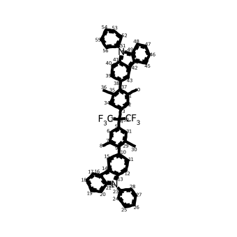 Cc1cc(C(c2cc(C)c(-c3ccc4c(c3)c3ccccc3n4-c3ccccc3)c(C)c2)(C(F)(F)F)C(F)(F)F)cc(C)c1-c1ccc2c(c1)c1ccccc1n2-c1ccccc1